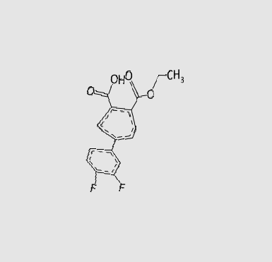 CCOC(=O)c1ccc(-c2ccc(F)c(F)c2)cc1C(=O)O